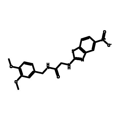 COc1ccc(CNC(=O)CNc2nc3cc([N+](=O)[O-])ccc3s2)cc1OC